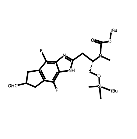 CN(C(=O)OC(C)(C)C)[C@H](CO[Si](C)(C)C(C)(C)C)Cc1nc2c(F)c3c(c(F)c2[nH]1)CC(C=O)C3